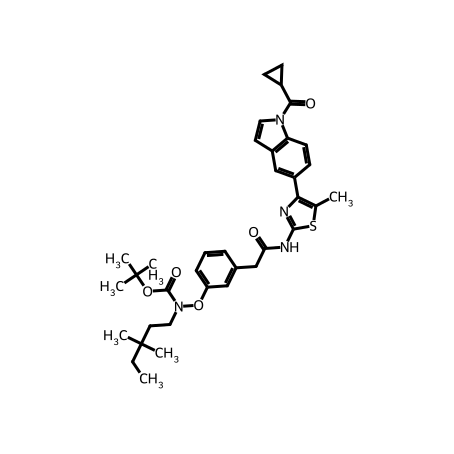 CCC(C)(C)CCN(Oc1cccc(CC(=O)Nc2nc(-c3ccc4c(ccn4C(=O)C4CC4)c3)c(C)s2)c1)C(=O)OC(C)(C)C